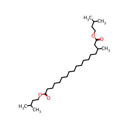 CC(C)CCOC(=O)CCCCCCCCCCCCCCC(C)CC(=O)OCCC(C)C